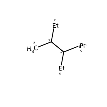 CCC(C)C(CC)[C](C)C